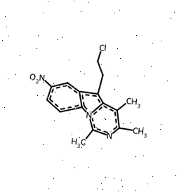 Cc1nc(C)n2c(c1C)c(CCCl)c1cc([N+](=O)[O-])ccc12